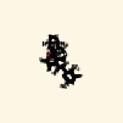 Cc1cc(C#N)cc(-c2nc3c4c(nc(C)c(C)c4c2F)N2C[C@H]4CC[C@@H]([C@H]2[C@H](C)O3)N4C(=O)OC(C)(C)C)c1C(F)(F)F